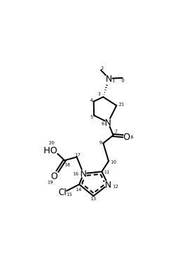 CN(C)[C@H]1CCN(C(=O)CCc2ncc(Cl)n2CC(=O)O)C1